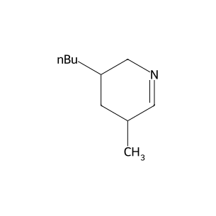 CCCCC1CN=CC(C)C1